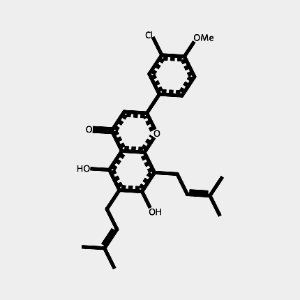 COc1ccc(-c2cc(=O)c3c(O)c(CC=C(C)C)c(O)c(CC=C(C)C)c3o2)cc1Cl